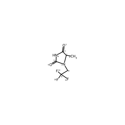 CC1C(=O)NC(=O)N1CC(F)(F)F